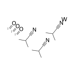 CC(C)C#N.CC(C)C#N.CC(C)C#N.[C]=O.[C]=O.[C]=O.[W]